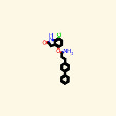 NC(CCc1ccc(-c2ccccc2)cc1)Oc1ccc(Cl)c2c1CC(=O)N2